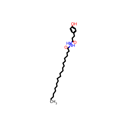 CCCCCCCCCCCCCCCCCCCCCC(=O)NNC(=O)CCc1ccc(O)cc1